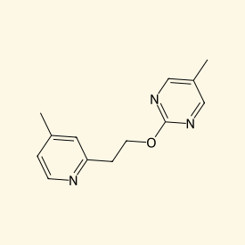 Cc1cnc(OCCc2cc(C)ccn2)nc1